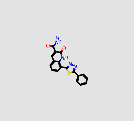 NC(=O)c1cc2cccc(-c3nnc(-c4ccccc4)s3)c2[nH]c1=O